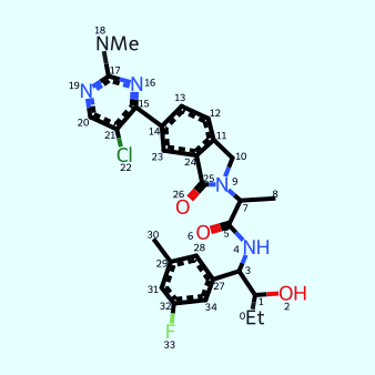 CCC(O)C(NC(=O)C(C)N1Cc2ccc(-c3nc(NC)ncc3Cl)cc2C1=O)c1cc(C)cc(F)c1